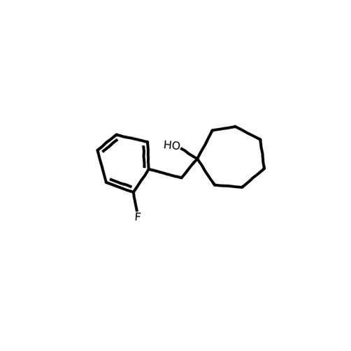 OC1(Cc2ccccc2F)CCCCCC1